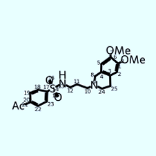 COc1cc2c(cc1OC)CN(CCCNS(=O)(=O)c1ccc(C(C)=O)cc1)CC2